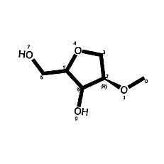 CO[C@@H]1COC(CO)C1O